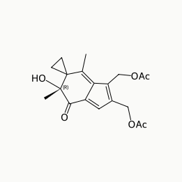 CC(=O)OCC1=C(COC(C)=O)C2=C(C)C3(CC3)[C@@](C)(O)C(=O)C2=C1